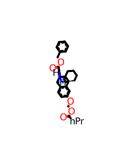 CCCC(=O)OCOc1ccc2c(c1)[C@@]13CCCC[C@H]1[C@@H](C2)N(C(=O)OCc1ccccc1)CC3